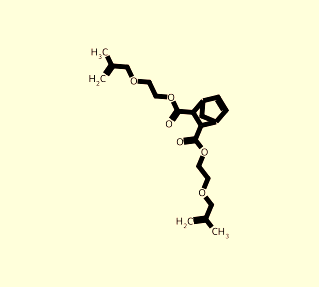 C=C(C)COCCOC(=O)C1C2C=CC(C2)C1C(=O)OCCOCC(=C)C